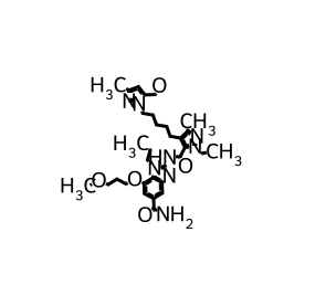 CCCn1c(NC(=O)c2c(CCCCCn3nc(C)cc3C=O)c(C)nn2CC)nc2cc(C(N)=O)cc(OCCCOC)c21